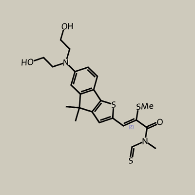 CS/C(=C\c1cc2c(s1)-c1ccc(N(CCO)CCO)cc1C2(C)C)C(=O)N(C)C=S